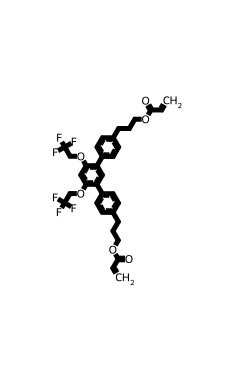 C=CC(=O)OCCCc1ccc(-c2cc(-c3ccc(CCCOC(=O)C=C)cc3)c(OCC(F)(F)F)cc2OCC(F)(F)F)cc1